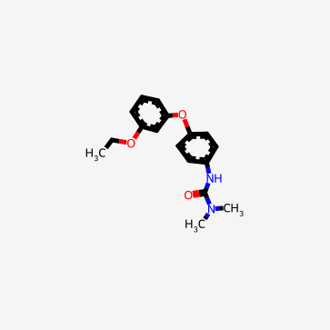 CCOc1cccc(Oc2ccc(NC(=O)N(C)C)cc2)c1